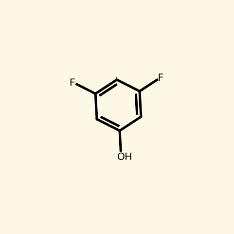 Oc1cc(F)[c]c(F)c1